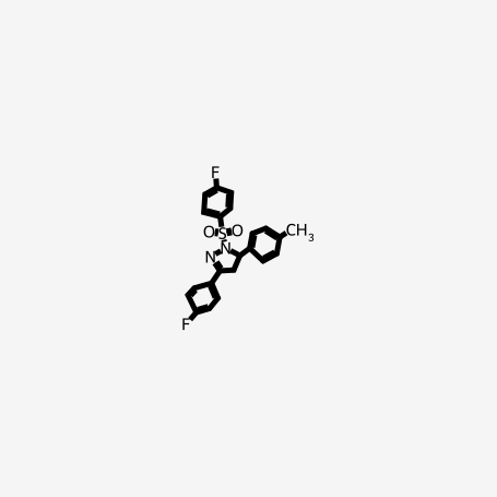 Cc1ccc(C2CC(c3ccc(F)cc3)=NN2S(=O)(=O)c2ccc(F)cc2)cc1